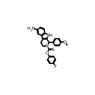 COc1ccc(C2c3[nH]c4ccc(N)cc4c3CCN2C(=S)Oc2ccc(F)cc2)cc1